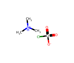 C[NH+](C)C.[O]=[Cr](=[O])([O-])[Cl]